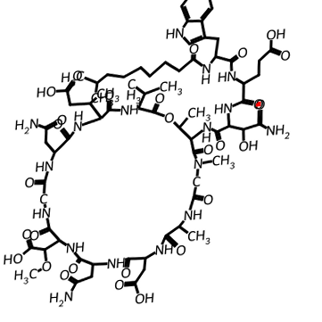 COC(C(=O)O)C1NC(=O)C(CC(N)=O)NC(=O)C(CC(=O)O)NC(=O)C(C)NC(=O)CN(C)C(=O)C(NC(=O)C(NC(=O)C(CCC(=O)O)NC(=O)C(Cc2c[nH]c3ccccc23)NC(=O)CCCCCCC(C)C)C(O)C(N)=O)C(C)OC(=O)C(C(C)C)NC(=O)C(C(C)CC(=O)O)NC(=O)C(CC(N)=O)NC(=O)CNC1=O